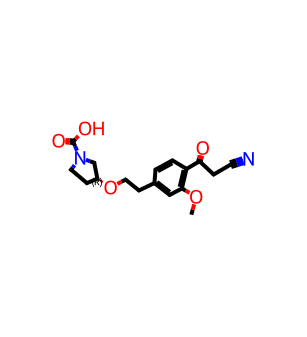 COc1cc(CCO[C@@H]2CCN(C(=O)O)C2)ccc1C(=O)CC#N